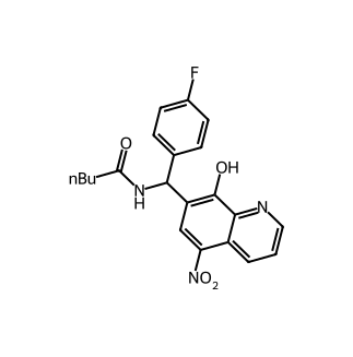 CCCCC(=O)NC(c1ccc(F)cc1)c1cc([N+](=O)[O-])c2cccnc2c1O